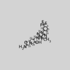 CCN(Cc1ccc(C(F)(F)F)cc1)c1ncnc(NCC2CCN(CC(N)=O)CC2O)c1F